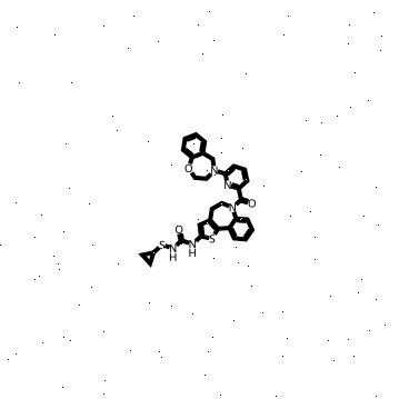 O=C(NSC1CC1)Nc1cc2c(s1)-c1ccccc1N(C(=O)c1cccc(N3CCOc4ccccc4C3)n1)CC2